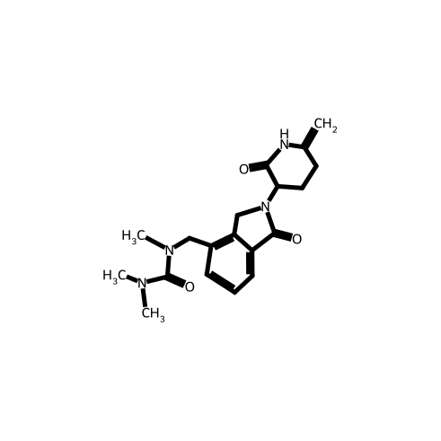 C=C1CCC(N2Cc3c(CN(C)C(=O)N(C)C)cccc3C2=O)C(=O)N1